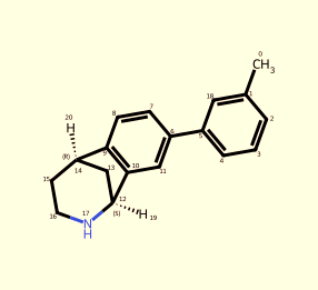 Cc1cccc(-c2ccc3c(c2)[C@@H]2C[C@H]3CCN2)c1